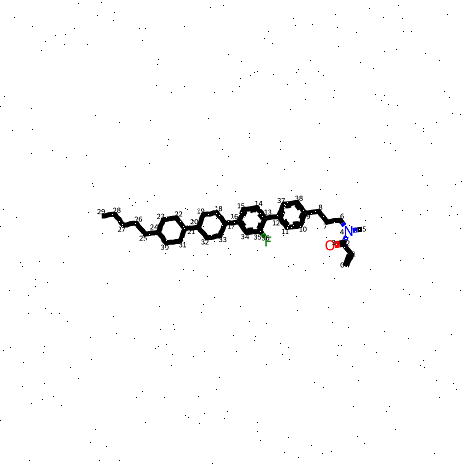 C=CC(=O)N(C)CCCc1ccc(-c2ccc(C3CCC(C4CCC(CCCCC)CC4)CC3)cc2F)cc1